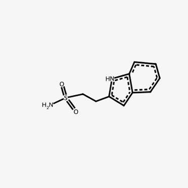 NS(=O)(=O)CCc1cc2ccccc2[nH]1